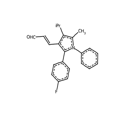 Cc1c(C(C)C)c(C=CC=O)c(-c2ccc(F)cc2)n1-c1ccccc1